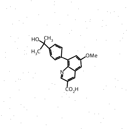 COc1cc(-c2ccc(C(C)(C)O)cc2)c2ncc(C(=O)O)cc2c1